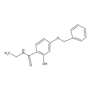 CCNC(=O)c1ccc(OCc2ccccc2)cc1O